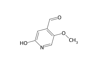 COc1cnc(O)cc1C=O